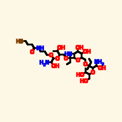 CCC(C)(OCC1OC2C(NC2(CC)OCC(OC(OCCCNC(=O)CCCS)C(N)O)C(C)O)C(O)C1O)C(OC(CO)C(C)O)C(N)O